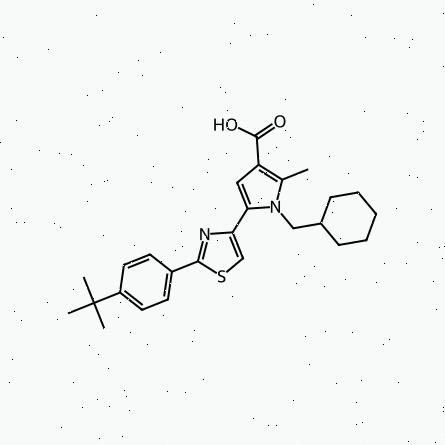 Cc1c(C(=O)O)cc(-c2csc(-c3ccc(C(C)(C)C)cc3)n2)n1CC1CCCCC1